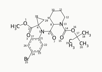 COC(=O)C1(N(C(=O)C2CCCCN2C(=O)OC(C)(C)C)c2ccc(Br)cc2)CC1